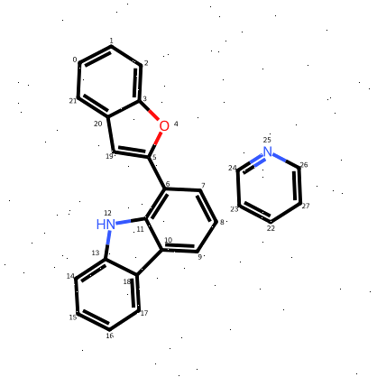 c1ccc2oc(-c3cccc4c3[nH]c3ccccc34)cc2c1.c1ccncc1